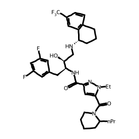 CCCC1CCCCN1C(=O)c1cc(C(=O)N[C@@H](Cc2cc(F)cc(F)c2)[C@@H](O)CN[C@H]2CCCc3ccc(C(F)(F)F)cc32)nn1CC